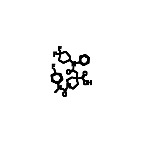 CN(C(=O)N1CCC(CC(=O)N(c2ccccc2)C2CCC(F)(F)CC2)(C(=O)O)CC1)c1ccc(F)cc1